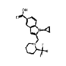 O=C(O)c1ccc2c(c1)cc(CN1CCCCC1C(F)(F)F)n2C1CC1